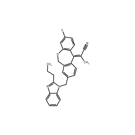 CCCc1nc2ccccc2n1Cc1ccc2c(c1)COc1cc(F)ccc1/C2=C(/C)C#N